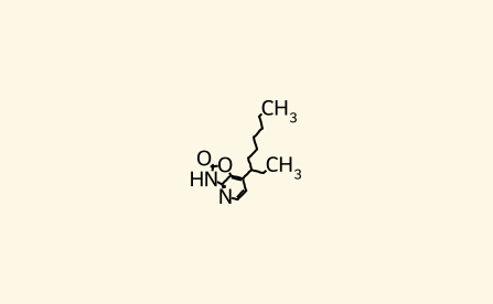 CCCCCCC(CC)c1ccnc2[nH]c(=O)oc12